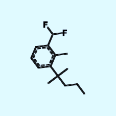 CCCC(C)(C)c1cccc(C(F)F)c1C